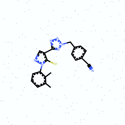 Cc1cccc(-n2ncc(-c3nnn(Cc4ccc(C#N)cc4)n3)c2S)c1C